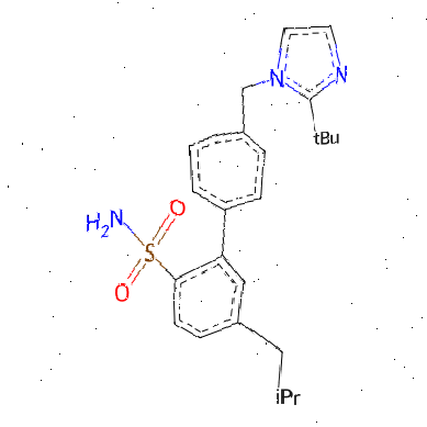 CC(C)Cc1ccc(S(N)(=O)=O)c(-c2ccc(Cn3ccnc3C(C)(C)C)cc2)c1